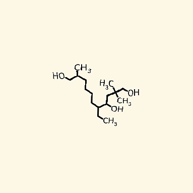 CCC(CCCCC(C)CO)C(O)CC(C)(C)CO